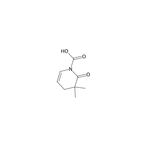 CC1(C)CC=CN(C(=O)O)C1=O